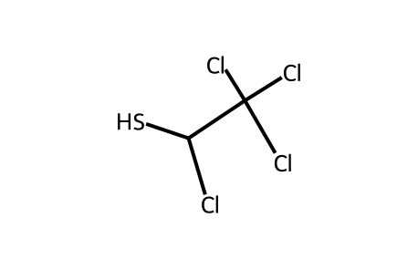 SC(Cl)C(Cl)(Cl)Cl